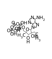 CC[C@]1(O)[C@H](n2cnc3c(N)ncnc32)O[C@](C)(COP(=O)(O)OP(=O)(O)OP(=O)(O)O)[C@H]1O